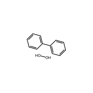 OO.c1ccc(-c2ccccc2)cc1